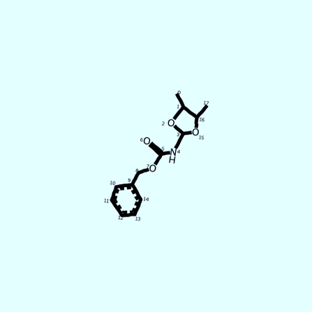 CC1OC(NC(=O)OCc2ccccc2)OC1C